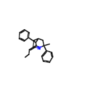 CCC=C1C(c2ccccc2)C2CCN1C(C)(c1ccccc1)C2